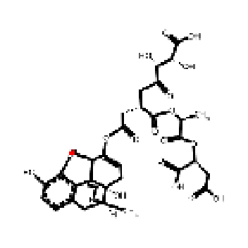 C[C@H](OC(=O)[C@H](CC(=O)OC1=CC[C@@]2(O)[C@H]3Cc4ccc(O)c5c4[C@@]2(CCN3C)[C@H]1O5)CC(=O)[C@H](O)[C@@H](O)C(=O)O)C(=O)O[C@@H](CC(=O)O)C(=O)O